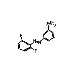 Nc1cccc(N=Nc2c(F)cccc2F)c1